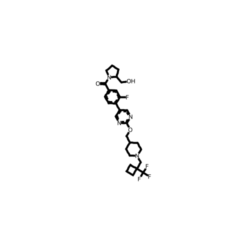 O=C(c1ccc(-c2cnc(OCC3CCN(CC4(C(F)(F)F)CCC4)CC3)nc2)c(F)c1)N1CCCC1CO